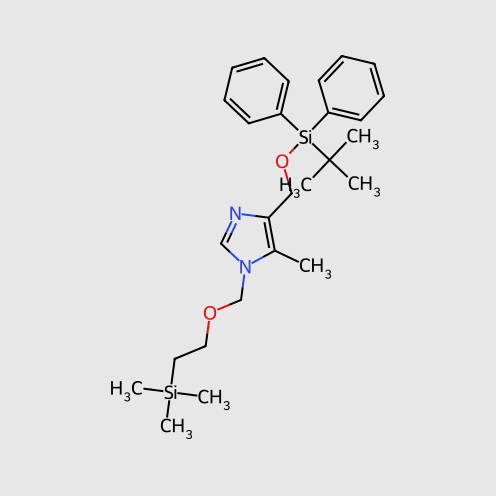 Cc1c(CO[Si](c2ccccc2)(c2ccccc2)C(C)(C)C)ncn1COCC[Si](C)(C)C